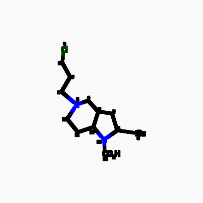 CC(C)(C)C1CC2CN(CCCCl)CCC2N1C(=O)O